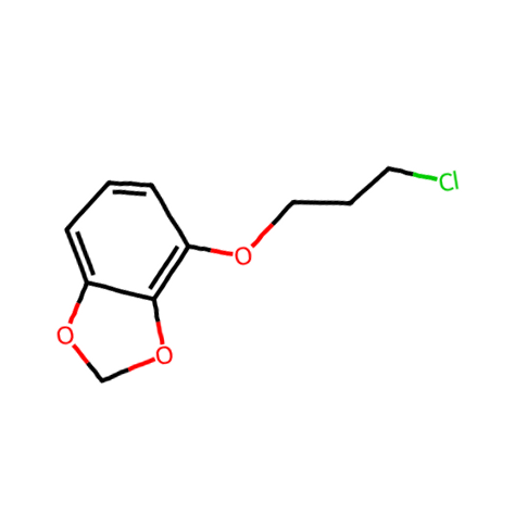 ClCCCOc1cccc2c1OCO2